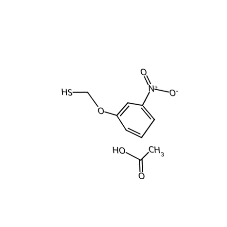 CC(=O)O.O=[N+]([O-])c1cccc(OCS)c1